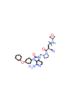 CN(C1COC1)C(C)(C)C=C(C#N)C(=O)N1CCC[C@H]1Cn1c(=O)n(-c2ccc(Oc3ccccc3)cc2)c2c(N)nccc21